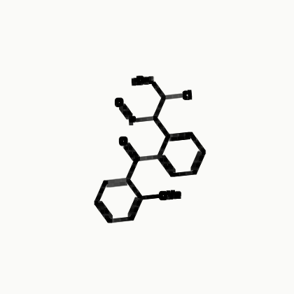 CCCCCCCCCCC(Cl)C(P=O)c1ccccc1C(=O)c1ccccc1OC